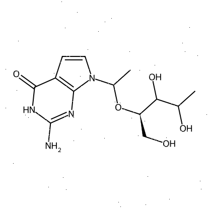 CC(O)C(O)[C@@H](CO)OC(C)n1ccc2c(=O)[nH]c(N)nc21